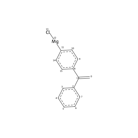 C=C(c1ccccc1)c1cc[c]([Mg][Cl])cc1